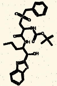 CCCC(NC(=O)C(CS(=O)(=O)Cc1ccccc1)NC(=O)OC(C)(C)C)[C@@H](O)c1nc2ccccc2s1